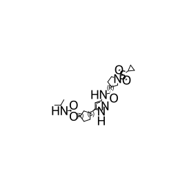 CC(C)NC(=O)O[C@@H]1CC[C@H](c2cc(NC(=O)[C@@H]3CCN(S(=O)(=O)C4CC4)C3)n[nH]2)C1